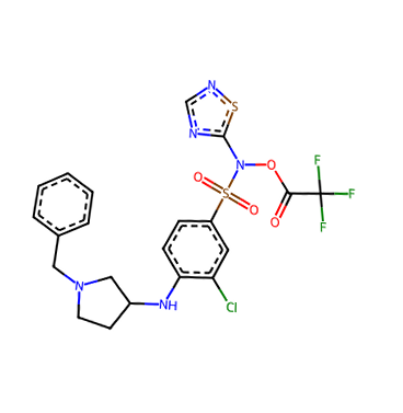 O=C(ON(c1ncns1)S(=O)(=O)c1ccc(NC2CCN(Cc3ccccc3)C2)c(Cl)c1)C(F)(F)F